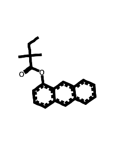 CCC(C)(C)C(=O)Oc1cccc2cc3ccccc3cc12